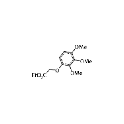 CCOC(=O)COc1ccc(OC)c(OC)c1OC